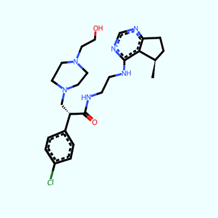 C[C@@H]1CCc2ncnc(NCCNC(=O)[C@@H](CN3CCN(CCO)CC3)c3ccc(Cl)cc3)c21